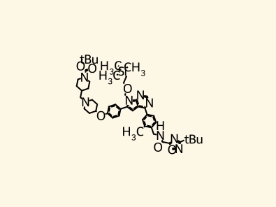 Cc1cc(-c2ncnc3c2cc(-c2ccc(OC4CCN(CC5CCN(C(=O)OC(C)(C)C)CC5)CC4)cc2)n3COCC[Si](C)(C)C)ccc1CNC(=O)c1nc(C(C)(C)C)no1